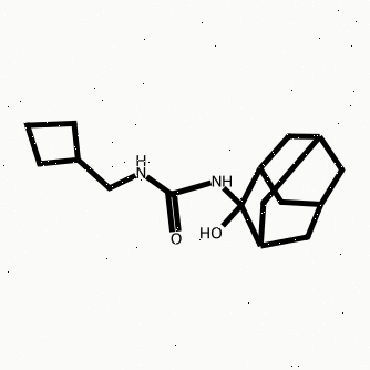 O=C(NCC1CCC1)NC1(O)C2CC3CC(C2)CC1C3